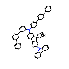 CCC1(CC)c2cc(N(c3ccc(-c4ccc(-c5ccccc5)cc4)cc3)c3cccc(-c4cccc(-c5ccccc5)c4)c3)ccc2-c2ccc(-n3c4ccccc4c4ccccc43)cc21